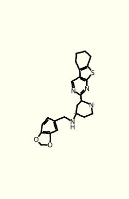 c1cc2c(cc1CN[C]1CC[N]C(c3ncc4c5c(sc4n3)CCCC5)C1)OCO2